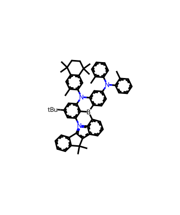 Cc1ccccc1N(c1ccc2c(c1)N(c1cc3c(cc1C)C(C)(C)CCC3(C)C)c1cc(C(C)(C)C)cc3c1B2c1cccc2c4c(n-3c12)-c1ccccc1C4(C)C)c1ccccc1C